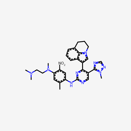 Cc1cc(N(C)CCN(C)C)c([N+](=O)[O-])cc1Nc1ncc(-c2ncnn2C)c(-c2cn3c4c(cccc24)CCC3)n1